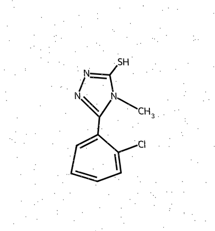 Cn1c(S)nnc1-c1ccccc1Cl